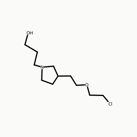 OCCCN1CCC(CCOCCCl)C1